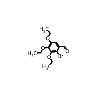 CCOc1cc(C=O)c(Br)c(OCC)c1OCC